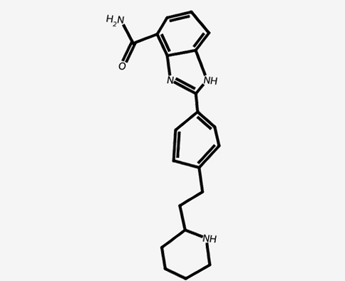 NC(=O)c1cccc2[nH]c(-c3ccc(CCC4CCCCN4)cc3)nc12